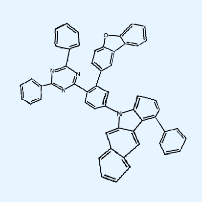 c1ccc(-c2nc(-c3ccccc3)nc(-c3ccc(-n4c5cc6ccccc6cc5c5c(-c6ccccc6)cccc54)cc3-c3ccc4oc5ccccc5c4c3)n2)cc1